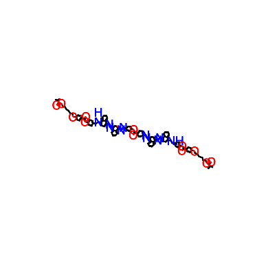 C=C(C)C(=O)OCCCCCCOc1ccc(C(=O)Oc2ccc(CNc3ccc(/N=N/c4ccc(/N=N/c5ccc(OC(=O)c6ccc(/N=N/c7ccc(/N=N/c8ccc(NCc9ccc(OC(=O)c%10ccc(OCCCCCCOC(=O)C(=C)C)cc%10)cc9)c9ccccc89)c8ccccc78)cc6)cc5)c5ccccc45)c4ccccc34)cc2)cc1